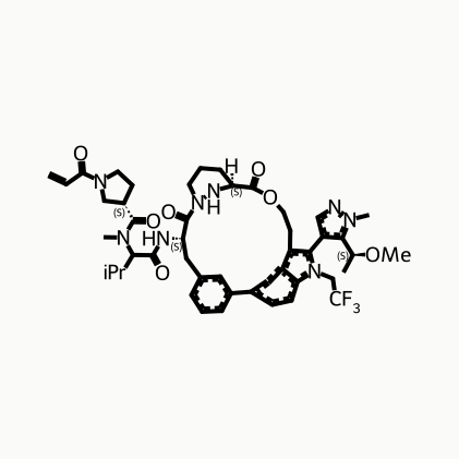 C=CC(=O)N1CC[C@H](C(=O)N(C)C(C(=O)N[C@H]2Cc3cccc(c3)-c3ccc4c(c3)c(c(-c3cnn(C)c3[C@H](C)OC)n4CC(F)(F)F)CCOC(=O)[C@@H]3CCCN(N3)C2=O)C(C)C)C1